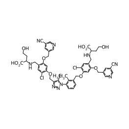 Cc1c(COc2cc(OCc3cncc(C#N)c3)c(CNC(CCO)C(=O)O)cc2Cl)cccc1-n1nnc(COc2cc(OCc3cncc(C#N)c3)c(CNC(CCO)C(=O)O)cc2Cl)c1C